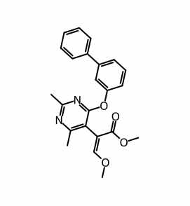 CO/C=C(\C(=O)OC)c1c(C)nc(C)nc1Oc1cccc(-c2ccccc2)c1